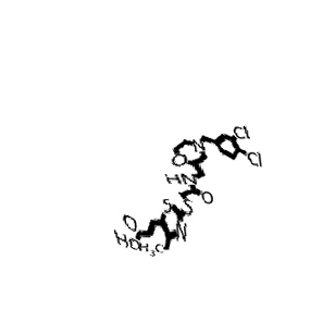 CCc1nc(SCC(=O)NCC2CN(Cc3ccc(Cl)c(Cl)c3)CCO2)sc1/C=C/C(=O)O